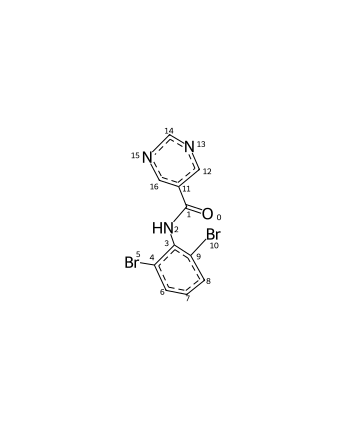 O=C(Nc1c(Br)cccc1Br)c1cncnc1